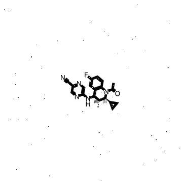 CC(=O)N1c2ccc(F)cc2C(Nc2cnc(C#N)cn2)[C@@H](C)[C@@H]1C1CC1